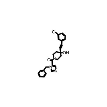 O=C(c1cncn1Cc1ccccc1)N1CCC(O)(C#Cc2cccc(Cl)c2)CC1